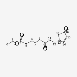 CCOC(=O)CCCCC(=O)CC[C@H]1C=CC(=O)C1